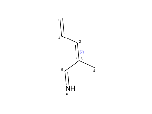 C=C/C=C(/C)C=N